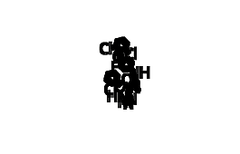 CN(CC(=O)Nc1ccc(Oc2c(Cl)cccc2Cl)c(F)c1)C(COc1ccccc1Cl)c1nnn[nH]1